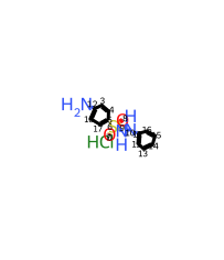 Cl.Nc1ccc(S(=O)(=O)NNc2ccccc2)cc1